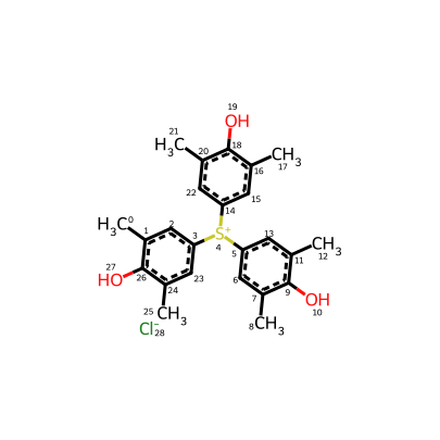 Cc1cc([S+](c2cc(C)c(O)c(C)c2)c2cc(C)c(O)c(C)c2)cc(C)c1O.[Cl-]